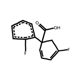 O=C(O)C1(c2ccccc2F)C=CC=C(F)C1